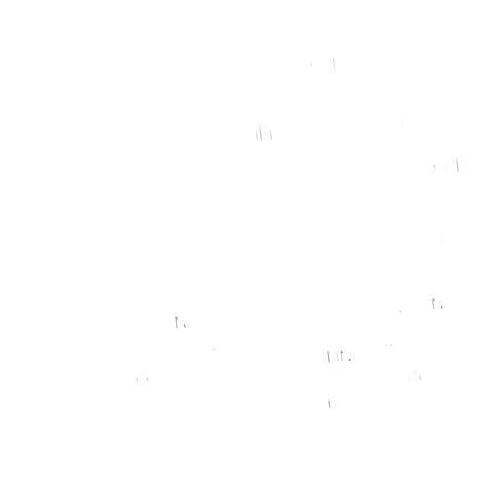 CCNC(=O)c1noc(-c2cc(C(C)C)c(O)cc2O)c1C1=CC=C(CN2CCOCC2)CC1